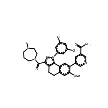 COc1cc2c(cc1-c1cncc(C(N)=O)c1)-c1c(c(C(=O)N3CCCN(C)CC3)nn1-c1cc(Cl)cc(Cl)c1)CC2